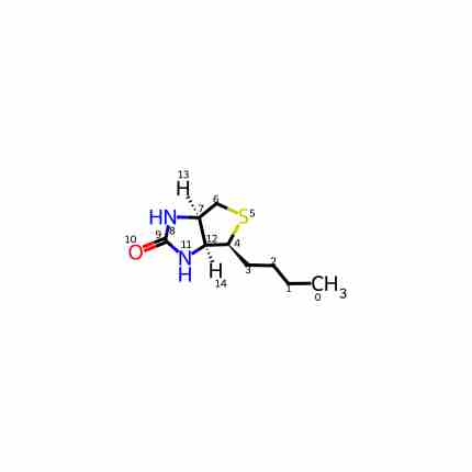 CCCC[C@@H]1SC[C@@H]2NC(=O)N[C@@H]21